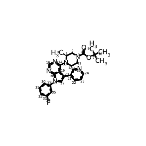 C[C@H]1CN(C(=O)OC(C)(C)C)CCN1c1ncnc2c1c(-c1cccnc1)cn2-c1cccc(F)c1